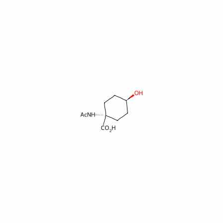 CC(=O)N[C@]1(C(=O)O)CC[C@@H](O)CC1